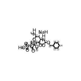 CNC(=O)CC(NC(=O)OCc1ccccc1)C(=O)NC1(OC)CN(S(=O)(=O)O)C1=O.[NaH]